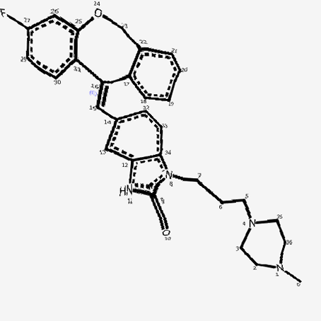 CN1CCN(CCCn2c(=O)[nH]c3cc(/C=C4\c5ccccc5COc5cc(F)ccc54)ccc32)CC1